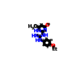 CCOc1ccc(NC(=N)Nc2nc(=O)cc(C)[nH]2)cc1